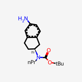 CCCN(C(=O)OC(C)(C)C)[C@H]1CCc2cc(N)ccc2C1